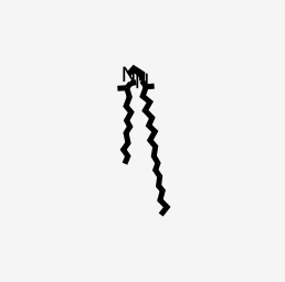 CCCCCCCCCCCCCCCCCC(C)n1ccnc1C(C)CCCCCCCCCC